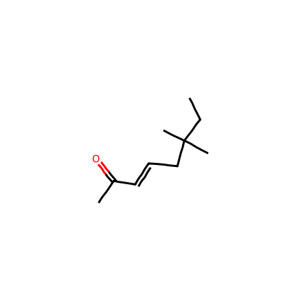 CCC(C)(C)CC=CC(C)=O